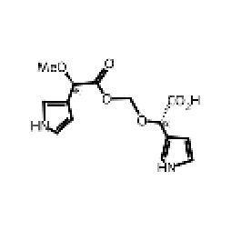 CO[C@@H](C(=O)OCO[C@H](C(=O)O)c1cc[nH]c1)c1cc[nH]c1